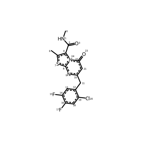 CNC(=O)c1c(C)sc2nc(Cc3cc(F)c(F)cc3Cl)cc(=O)n12